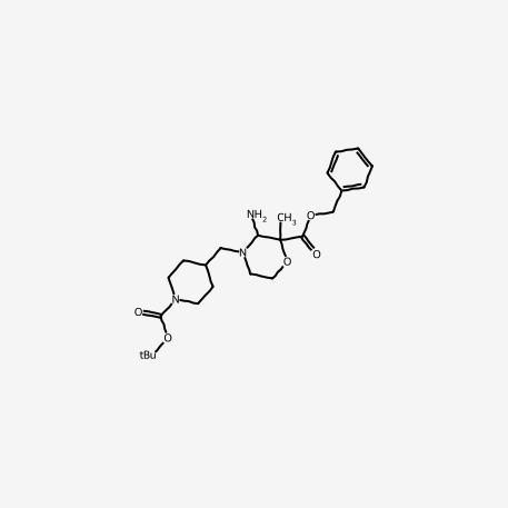 CC(C)(C)OC(=O)N1CCC(CN2CCOC(C)(C(=O)OCc3ccccc3)C2N)CC1